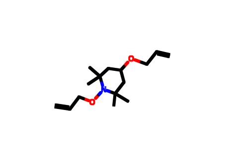 C=CCOC1CC(C)(C)N(OCC=C)C(C)(C)C1